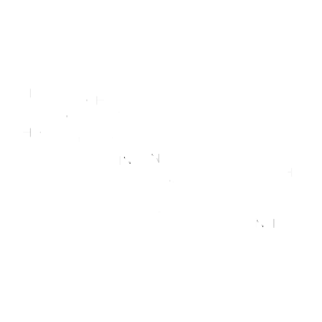 CC(C)(C)OC(=O)NNC(=O)c1ccc(O)c(N)c1